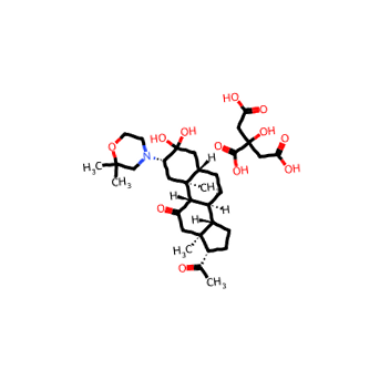 CC(=O)[C@H]1CC[C@H]2[C@@H]3CC[C@H]4CC(O)(O)[C@@H](N5CCOC(C)(C)C5)C[C@]4(C)[C@H]3C(=O)C[C@]12C.O=C(O)CC(O)(CC(=O)O)C(=O)O